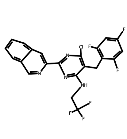 Fc1cc(F)c(Cc2c(Cl)nc(-c3cc4ccccc4cn3)nc2NCC(F)(F)F)c(F)c1